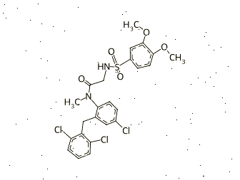 COc1ccc(S(=O)(=O)NCC(=O)N(C)c2ccc(Cl)cc2Cc2c(Cl)cccc2Cl)cc1OC